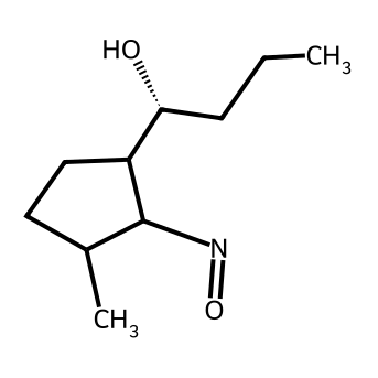 CCC[C@@H](O)C1CCC(C)C1N=O